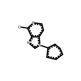 Clc1nccc2c1ncn2-c1ccccc1